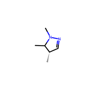 CC1[C@@H](C)C=NN1C